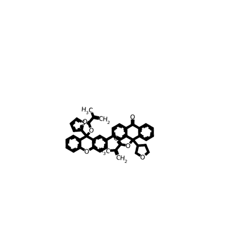 C=C(C)C(=O)OC1(c2cccs2)c2ccccc2Oc2ccc(-c3ccc4c(c3)C(OC(=O)C(=C)C)(C3CCOC3)c3ccccc3C4=O)cc21